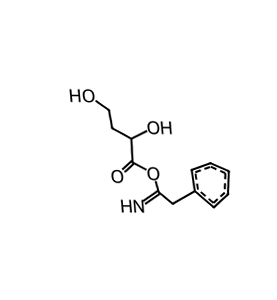 N=C(Cc1ccccc1)OC(=O)C(O)CCO